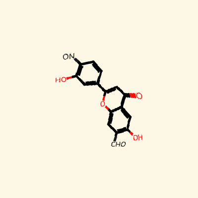 O=Cc1cc2oc(-c3ccc(N=O)c(O)c3)cc(=O)c2cc1O